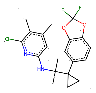 Cc1cc(NC(C)(C)C2(c3ccc4c(c3)OC(F)(F)O4)CC2)nc(Cl)c1C